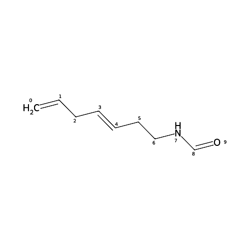 C=CC/C=C/CCNC=O